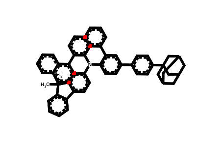 CC1(C)c2ccccc2-c2ccc(N(c3ccc(-c4ccc(C56CC7CC(CC(C7)C5)C6)cc4)cc3-c3ccccc3)c3ccccc3-c3cccc4ccccc34)cc21